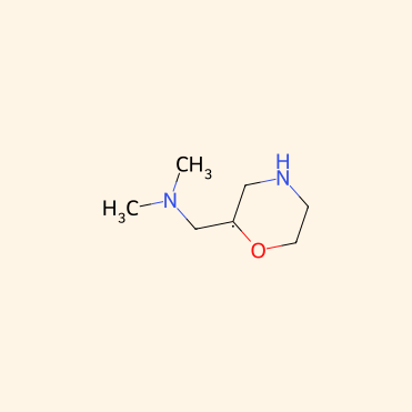 CN(C)C[C]1CNCCO1